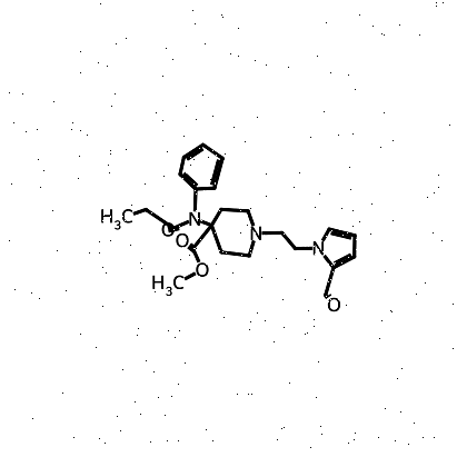 CCC(=O)N(c1ccccc1)C1(C(=O)OC)CCN(CCn2cccc2C=O)CC1